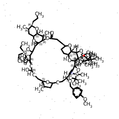 C=C1C(O[Si](CC)(CC)CC)C[C@@H]2OC3C[C@@H](C)[C@@H](CCC)O[C@H]3[C@H](C)[C@H]2OC(=O)CC2CC[C@@H]3O[C@H]([C@@H](O[Si](C)(C)C(C)(C)C)[C@@H](O[Si](C)(C)C(C)(C)C)[C@H]3O2)[C@@H](O[Si](C)(C)C(C)(C)C)/C=C/C(OCc2ccc(OC)cc2)CCC2CC(=C)[C@H](CC[C@@H](O)C[C@H]1C)O2